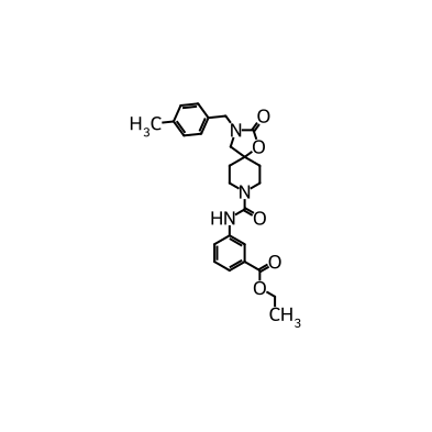 CCOC(=O)c1cccc(NC(=O)N2CCC3(CC2)CN(Cc2ccc(C)cc2)C(=O)O3)c1